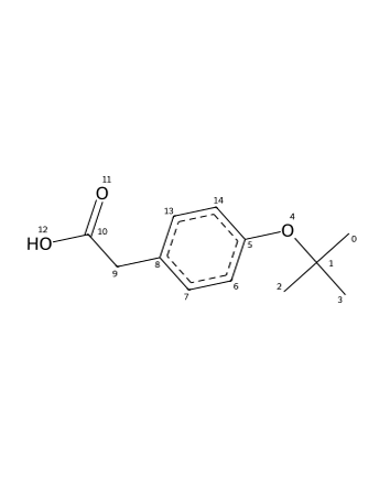 CC(C)(C)Oc1ccc(CC(=O)O)cc1